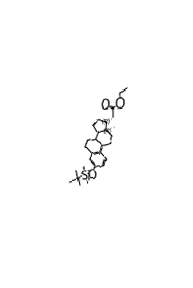 CCOC(=O)C[C@H]1CCC2C3CCc4cc(O[Si](C)(C)C(C)(C)C)ccc4C3CC[C@@]21C